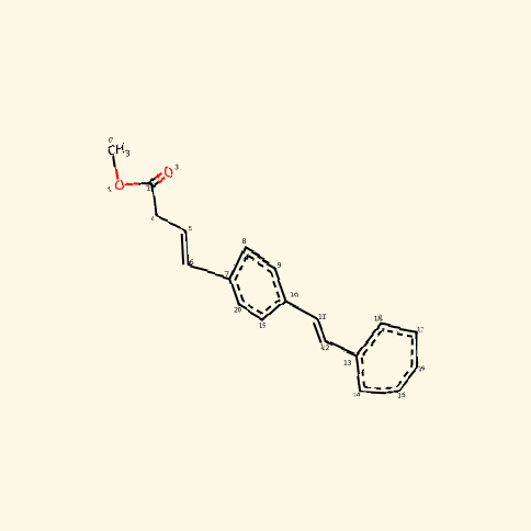 COC(=O)CC=Cc1ccc(C=Cc2ccccc2)cc1